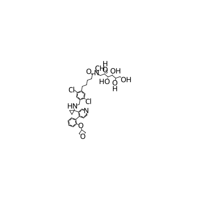 CN(C[C@H](O)[C@@H](O)[C@H](O)[C@H](O)CO)C(=O)CCCCc1cc(Cl)c(CNC2(c3cnccc3-c3ccccc3OC3COC3)CC2)cc1Cl